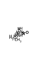 CC(C)CC(Nc1cnc(C#N)c(Nc2cc(-c3ccccc3)no2)c1)C(N)=O